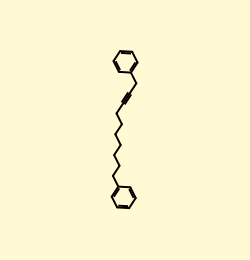 C(#CCc1ccccc1)CCCCCCCc1ccccc1